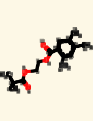 C=C(C)C(=O)OCCOC(=O)c1cc(C)c(C)cc1[N+](=O)[O-]